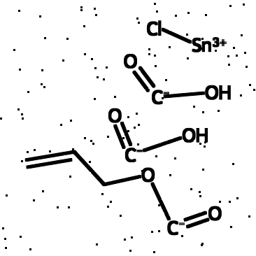 C=CCO[C-]=O.O=[C-]O.O=[C-]O.[Cl][Sn+3]